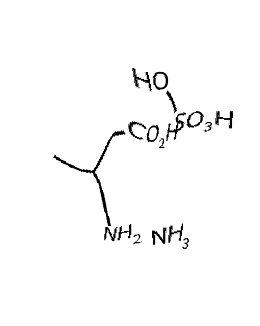 CC(N)C(=O)O.N.O=S(=O)(O)O